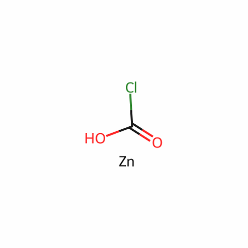 O=C(O)Cl.[Zn]